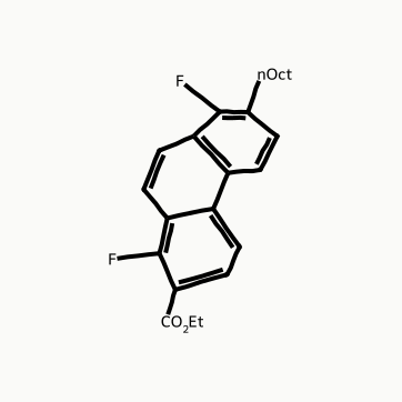 CCCCCCCCc1ccc2c(ccc3c(F)c(C(=O)OCC)ccc32)c1F